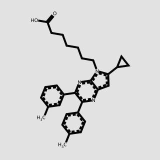 Cc1ccc(-c2nc3cc(C4CC4)n(CCCCCCC(=O)O)c3nc2-c2cccc(C)c2)cc1